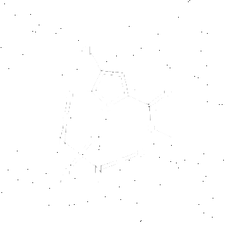 COC(=O)c1cc(Cl)cs1.O=C=NS(=O)(=O)N=C=O